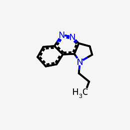 CCCN1CCc2nnc3ccccc3c21